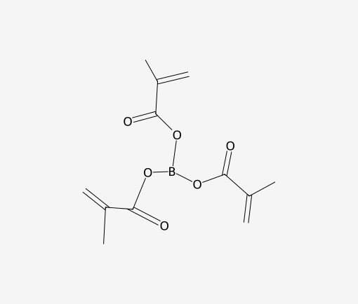 C=C(C)C(=O)OB(OC(=O)C(=C)C)OC(=O)C(=C)C